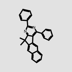 CC1(C)c2cc3ccccc3cc2-c2c(-c3ccccc3)nc(-c3ccccc3)nc21